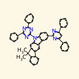 CC1(C)c2ccccc2-c2cc3c4cc(-c5nc(-c6ccccc6)cc(-c6ccccc6)n5)ccc4n(-c4nc(-c5ccccc5)nc(-c5ccccc5)n4)c3cc21